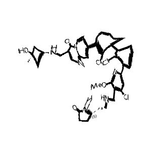 COc1nc(-c2cccc(-c3cccc(-c4ccn5c(=O)c(CN[C@H]6C[C@](C)(O)C6)cnc5c4)c3Cl)c2Cl)cc(Cl)c1CNC[C@@H]1CCC(=O)N1